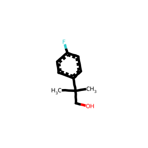 CC(C)([CH]O)c1ccc(F)cc1